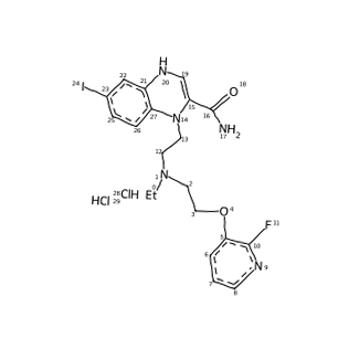 CCN(CCOc1cccnc1F)CCN1C(C(N)=O)=CNc2cc(I)ccc21.Cl.Cl